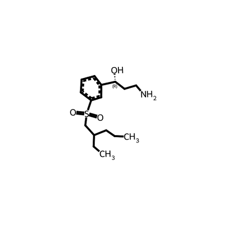 CCCC(CC)CS(=O)(=O)c1cccc([C@H](O)CCN)c1